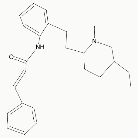 CCC1CCC(CCc2ccccc2NC(=O)C=Cc2ccccc2)N(C)C1